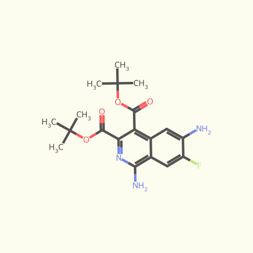 CC(C)(C)OC(=O)c1nc(N)c2cc(F)c(N)cc2c1C(=O)OC(C)(C)C